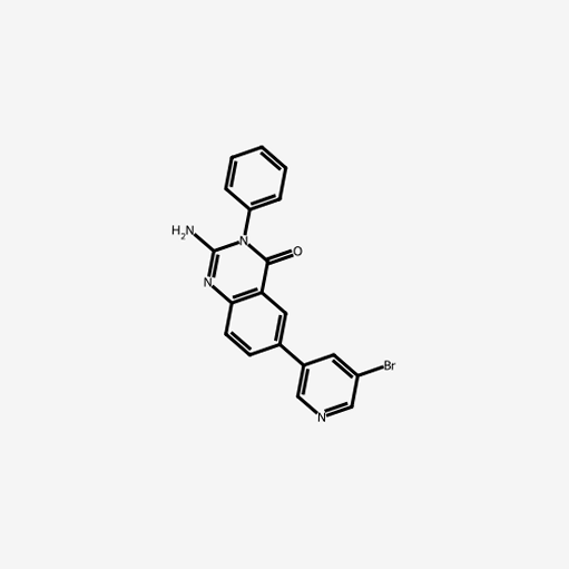 Nc1nc2ccc(-c3cncc(Br)c3)cc2c(=O)n1-c1ccccc1